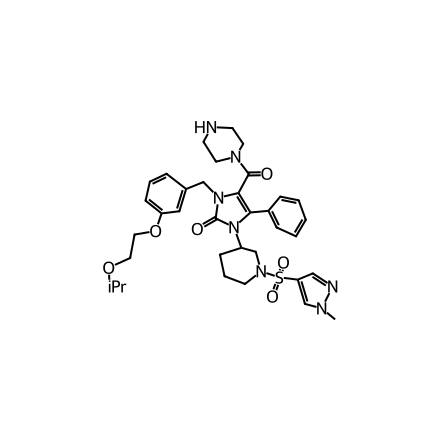 CC(C)OCCOc1cccc(Cn2c(C(=O)N3CCNCC3)c(-c3ccccc3)n(C3CCCN(S(=O)(=O)c4cnn(C)c4)C3)c2=O)c1